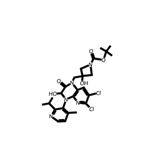 Cc1ccnc(C(C)C)c1N1c2nc(Cl)c(Cl)cc2N(CC2(O)CN(C(=O)OC(C)(C)C)C2)C(=O)C1O